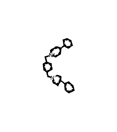 c1ccc(-c2cc[n+](Cc3ccc(C[n+]4ccc(-c5ccccc5)cc4)cc3)cc2)cc1